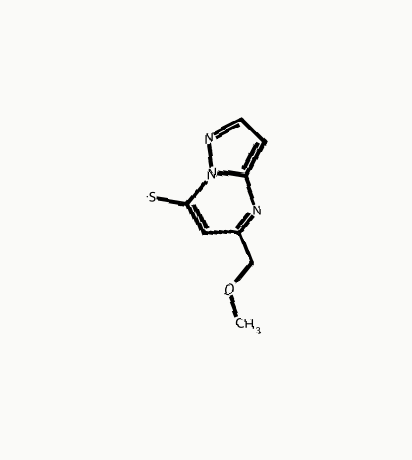 COCc1cc([S])n2nccc2n1